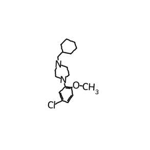 COc1ccc(Cl)cc1N1CCN(CC2CCCCC2)CC1